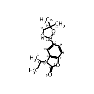 CC(C)n1c(=O)oc2ccc(B3OCC(C)(C)O3)cc21